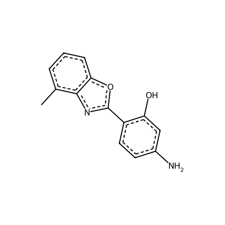 Cc1cccc2oc(-c3ccc(N)cc3O)nc12